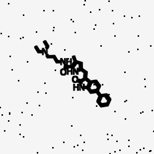 CCN(CC)CCCNC(=O)c1[nH]c(/C=C2\C(=O)Nc3cc(-c4ccccc4)ccc32)cc1C